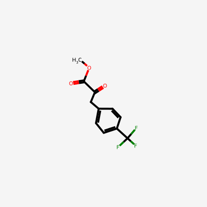 COC(=O)C(=O)Cc1ccc(C(F)(F)F)cc1